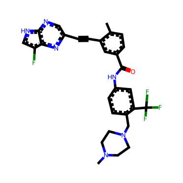 Cc1ccc(C(=O)Nc2ccc(CN3CCN(C)CC3)c(C(F)(F)F)c2)cc1C#Cc1cnc2[nH]cc(F)c2n1